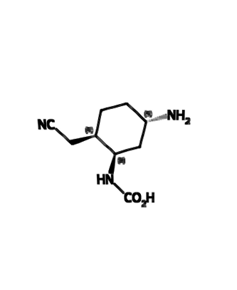 N#CC[C@H]1CC[C@H](N)C[C@H]1NC(=O)O